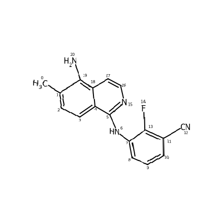 Cc1ccc2c(Nc3cccc(C#N)c3F)nccc2c1N